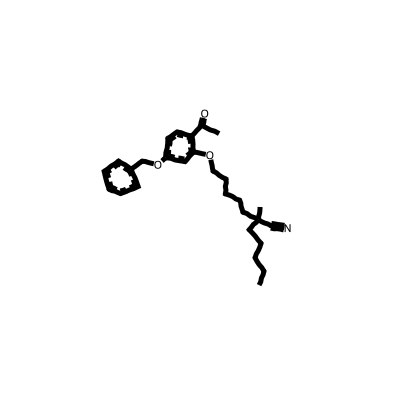 CCCCCC(C)(C#N)CCCCCOc1cc(OCc2ccccc2)ccc1C(C)=O